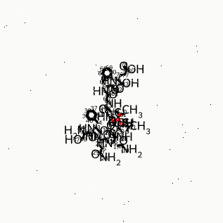 CC[C@H](C)[C@H](NC(=O)[C@H](CC(C)C)NC(=O)[C@H](CC(N)=O)NC(=O)[C@H](CCC(N)=O)NC(=O)[C@H](Cc1ccccc1)NC(=O)[C@@H](N)CO)C(=O)N[C@@H](CCC(=O)O)C(=O)NCC(=O)N[C@@H](Cc1ccccc1)C(=O)N[C@@H](CCC(=O)O)C(=O)O